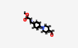 COC(=O)/C=C/c1ccc(N2CCC(C=O)CC2)cc1